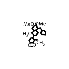 C=Cc1c(C2C=Cc3c(cc(OC)c(OC)c3Cc3ccccc3)C2C)ccc2c1OCO2